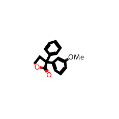 COc1cccc(C2(c3ccccc3)CCOC2=O)c1